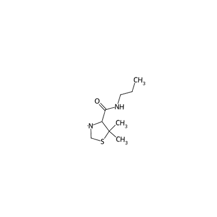 CCCNC(=O)C1[N]CSC1(C)C